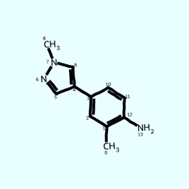 Cc1cc(-c2cnn(C)c2)ccc1N